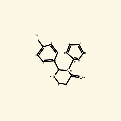 O=C1CCSC(c2ccc(F)cc2)N1c1ccccc1